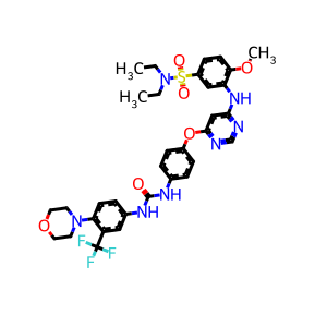 CCN(CC)S(=O)(=O)c1ccc(OC)c(Nc2cc(Oc3ccc(NC(=O)Nc4ccc(N5CCOCC5)c(C(F)(F)F)c4)cc3)ncn2)c1